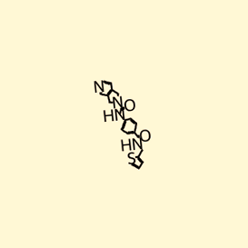 O=C(NCc1cccs1)c1ccc(NC(=O)N2Cc3ccncc3C2)cc1